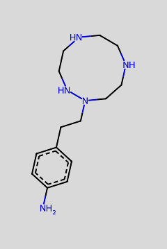 Nc1ccc(CCN2CCNCCNCCN2)cc1